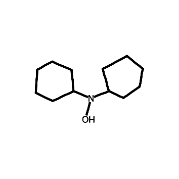 ON(C1CCCCC1)C1CCCCC1